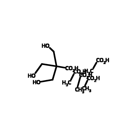 CC(=O)O.CC(=O)O.CC(=O)O.CC(=O)O.O=C(O)C(CO)(CO)CO